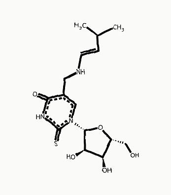 CC(C)C=CNCc1cn([C@@H]2O[C@H](CO)[C@@H](O)[C@H]2O)c(=S)[nH]c1=O